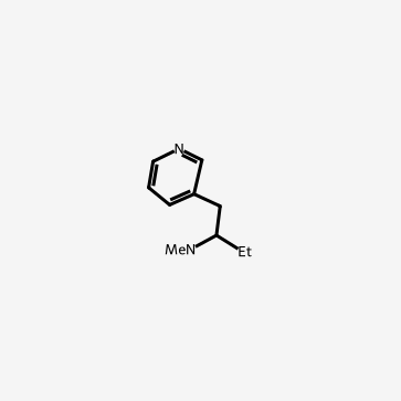 CCC(Cc1cccnc1)NC